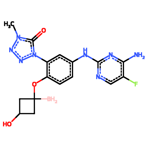 BC1(Oc2ccc(Nc3ncc(F)c(N)n3)cc2-n2nnn(C)c2=O)CC(O)C1